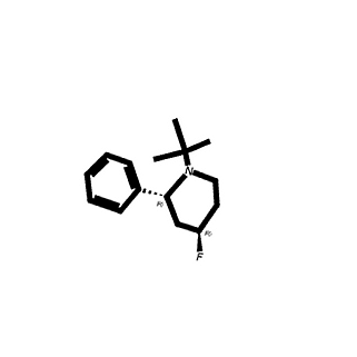 CC(C)(C)N1CC[C@@H](F)C[C@@H]1c1ccccc1